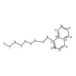 CCCCCCCCCc1nccc2ccccc12